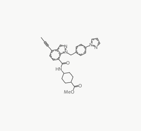 CC#Cc1ccc(C(=O)NC2CCC(C(=O)OC)CC2)c2c1cnn2Cc1ccc(-n2cccn2)cc1